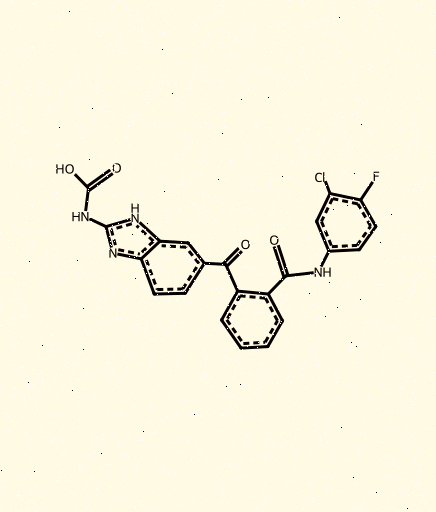 O=C(O)Nc1nc2ccc(C(=O)c3ccccc3C(=O)Nc3ccc(F)c(Cl)c3)cc2[nH]1